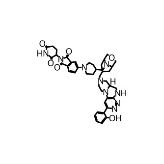 O=C1CCC(N2C(=O)c3ccc(N4CCC(CN5C6COCC5CC(CN5CCN7c8cc(-c9ccccc9O)nnc8NC[C@H]7C5)C6)CC4)cc3C2=O)C(=O)N1